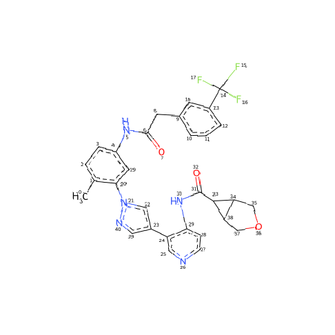 Cc1ccc(NC(=O)Cc2cccc(C(F)(F)F)c2)cc1-n1cc(-c2cnccc2NC(=O)C2C3COCC32)cn1